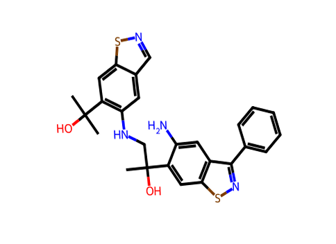 CC(C)(O)c1cc2sncc2cc1NCC(C)(O)c1cc2snc(-c3ccccc3)c2cc1N